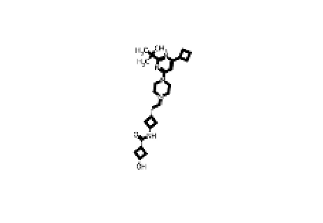 CC(C)(C)c1nc(C2CCC2)cc(N2CCN(CC[C@H]3C[C@@H](NC(=O)[C@H]4C[C@@H](O)C4)C3)CC2)n1